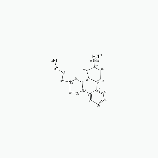 CCOCCN1CCN(c2ccccc2C2CCC(C(C)(C)C)CC2)CC1.Cl